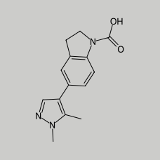 Cc1c(-c2ccc3c(c2)CCN3C(=O)O)cnn1C